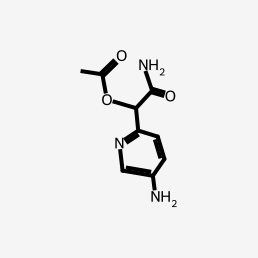 CC(=O)OC(C(N)=O)c1ccc(N)cn1